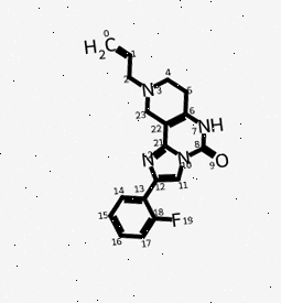 C=CCN1CCc2[nH]c(=O)n3cc(-c4ccccc4F)nc3c2C1